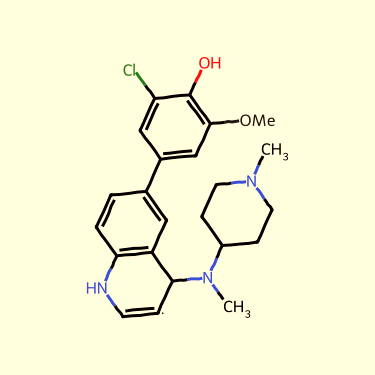 COc1cc(-c2ccc3c(c2)C(N(C)C2CCN(C)CC2)[C]=CN3)cc(Cl)c1O